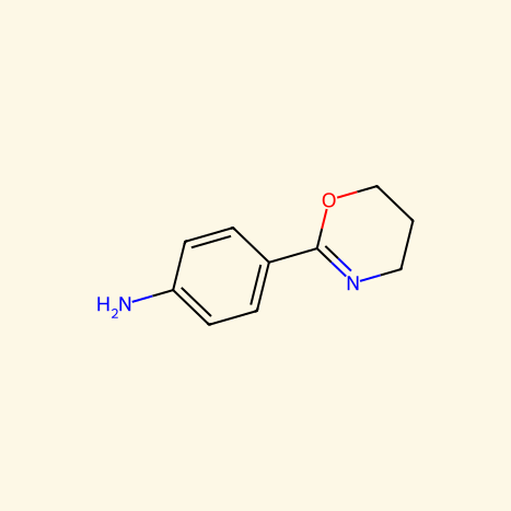 Nc1ccc(C2=NCCCO2)cc1